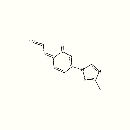 Cc1ncn(C2=CN/C(=C\C=N)C=C2)n1